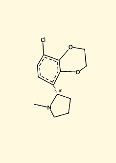 CN1CCC[C@H]1c1ccc(Cl)c2c1OCCO2